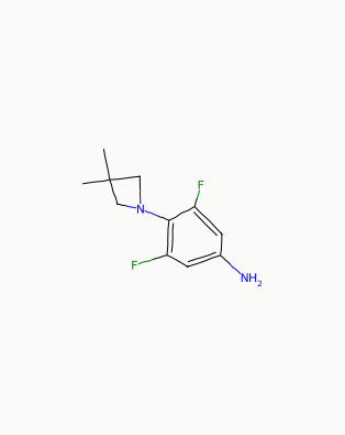 CC1(C)CN(c2c(F)cc(N)cc2F)C1